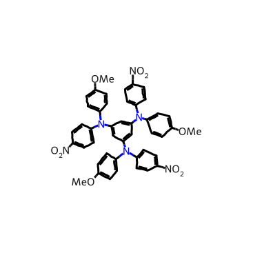 COc1ccc(N(c2ccc([N+](=O)[O-])cc2)c2cc(N(c3ccc(OC)cc3)c3ccc([N+](=O)[O-])cc3)cc(N(c3ccc(OC)cc3)c3ccc([N+](=O)[O-])cc3)c2)cc1